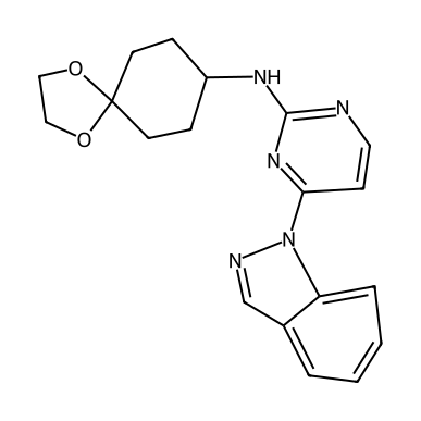 c1ccc2c(c1)cnn2-c1ccnc(NC2CCC3(CC2)OCCO3)n1